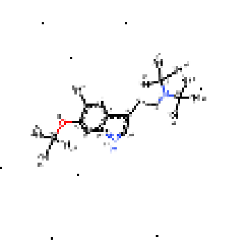 [2H]c1cc2c(CCN(C([2H])([2H])[2H])C([2H])([2H])[2H])c[nH]c2cc1OC([2H])([2H])[2H]